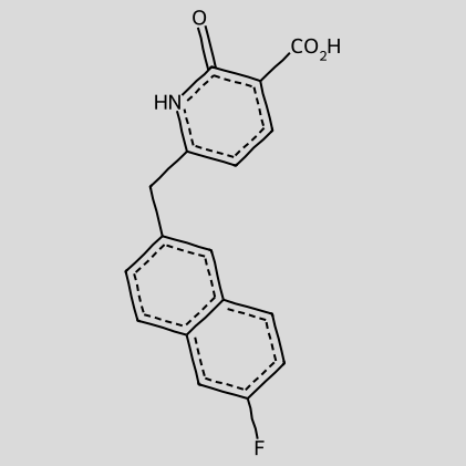 O=C(O)c1ccc(Cc2ccc3cc(F)ccc3c2)[nH]c1=O